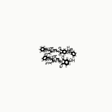 CC(C)C[C@H](NC(CCN1C(=O)c2ccc(O)cc2C1=O)C(=O)O)C(=O)NCc1ccccc1.CC(C)C[C@H](N[C@H](CCN1C(=O)c2ccc(NS(=O)(=O)c3ccccc3)cc2C1=O)C(=O)O)C(=O)NCc1ccccc1